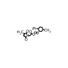 CC1=CC(=O)N(CC(=O)OOOC2CC(C)CCC2C(C)C)C1=O